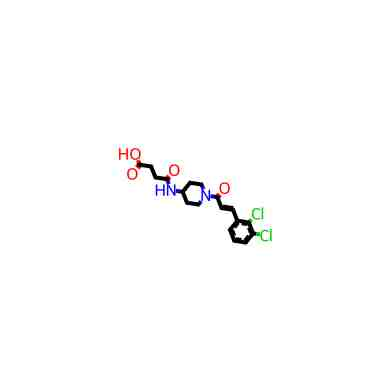 O=C(O)CCC(=O)NC1CCN(C(=O)C=Cc2cccc(Cl)c2Cl)CC1